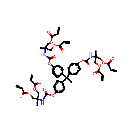 C=CC(=O)OCC(C)(COC(=O)C=C)NC(=O)Oc1ccc(C(C)(c2ccc(OC(=O)NC(C)(COC(=O)C=C)COC(=O)C=C)cc2)c2ccc(OC(=O)NC(C)(COC(=O)C=C)COC(=O)C=C)cc2)cc1